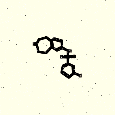 O=S(=O)(Nc1ccc2c(c1)CCNCC2)c1cccc(Cl)c1